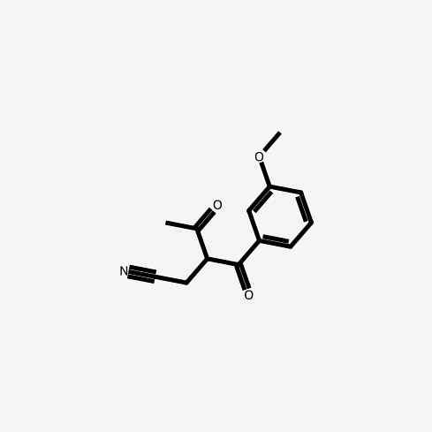 COc1cccc(C(=O)C(CC#N)C(C)=O)c1